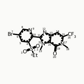 CCS(=O)(=O)c1cc(Br)cnc1-c1nc2cc(C(F)(F)F)n(C)c(=O)c2n1C